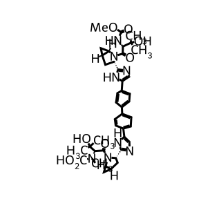 COC(=O)N[C@H](C(=O)N1[C@H](c2ncc(-c3ccc(-c4ccc(-c5cnc([C@@H]6C[C@@H]7C[C@@H]7N6C(=O)[C@@H](N(C)C(=O)O)C(C)(C)O)[nH]5)cc4)cc3)[nH]2)C[C@@H]2C[C@@H]21)C(C)(C)O